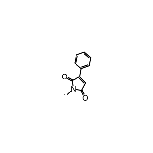 [CH2]N1C(=O)C=C(c2ccccc2)C1=O